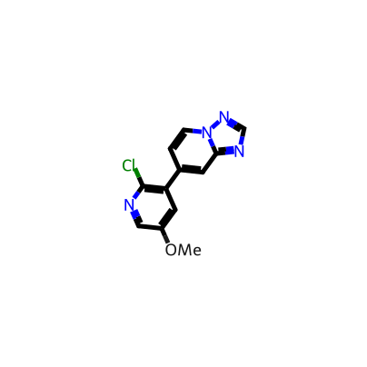 COc1cnc(Cl)c(-c2ccn3ncnc3c2)c1